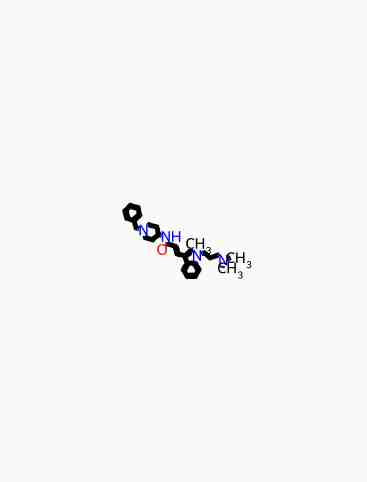 Cc1c(/C=C/C(=O)NC2CCN(Cc3ccccc3)CC2)c2ccccc2n1CCCN(C)C